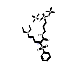 CCN(/C=C/C=C(\C(=O)NCCC[Si](C)(O[Si](C)(C)C)O[Si](C)(C)C)S(=O)(=O)c1ccccc1)CC